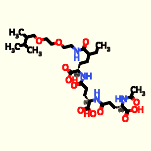 CCC(CC[C@H](NC(=O)CC[C@H](NC(=O)CC[C@H](NC(C)=O)C(=O)O)C(=O)O)C(=O)O)C(=O)NCCOCCOCC(C)C(C)C